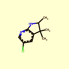 CC1Nc2ncc(Cl)cc2C1(C)C